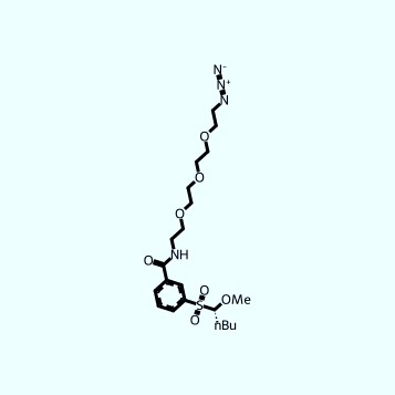 C[CH]CC[C@@H](OC)S(=O)(=O)c1cccc(C(=O)NCCOCCOCCOCCN=[N+]=[N-])c1